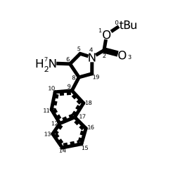 CC(C)(C)OC(=O)N1CC(N)C(c2ccc3ccccc3c2)C1